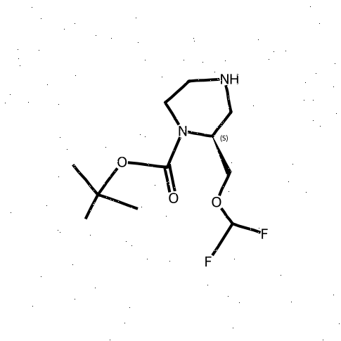 CC(C)(C)OC(=O)N1CCNC[C@H]1COC(F)F